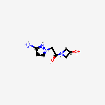 Nc1ccn(CC(=O)N2CC(O)C2)n1